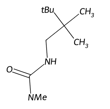 CNC(=O)NCC(C)(C)C(C)(C)C